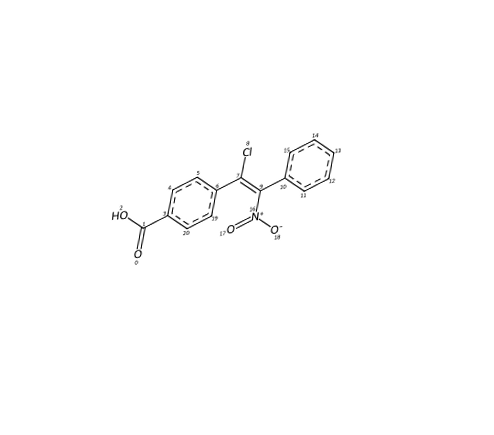 O=C(O)c1ccc(C(Cl)=C(c2ccccc2)[N+](=O)[O-])cc1